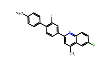 COc1ccc(-c2ccc(-c3cc(C)c4cc(F)ccc4n3)cc2F)cc1